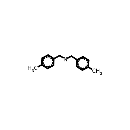 Cc1ccc(C[N]Cc2ccc(C)cc2)cc1